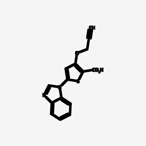 C#CCOc1cc(-n2cnc3ccccc32)sc1C(=O)O